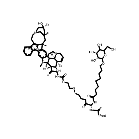 CCCCCC(=O)N[C@@H](NC(=O)CCCCCCCCOC1OC(CO)C(O)[C@H](O)[C@H]1O)C(=O)CCCSSCCOC(=O)NCC(=O)[C@@]1(O)[C@H](O)[C@]2(CC)C=CCN3CC[C@@]4(c5cc([C@@]6(C)C[C@@H]7CN(CCc8c6[nH]c6ccccc86)C[C@](O)(CC)C7)c(OC)cc5N(C)[C@@H]14)[C@@H]32